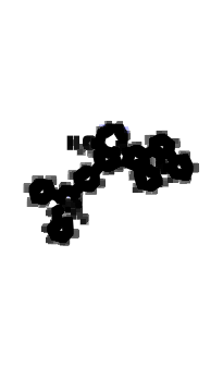 C=C1/C=C\C=C/N(c2cccc(-c3cccc4c3N(c3ccccc3)C3C=CC=CC43)c2)c2ccc(C3C=CC(/C(N)=C/C(NCc4ccccc4)c4ccccc4)=CC3)cc21